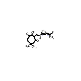 C/C(F)=C\C=C(/C)NCC1C(=O)CC(C)(C)CCC(=O)C1C